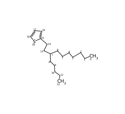 CCCCCCCC(CCCCC)CCc1cccs1